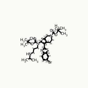 CC(C)NCCCN(C(=O)OC(C)(C)C)c1sc2c(c1-c1nc3ccc(Br)cc3s1)CCN(C(=O)OC(C)(C)C)C2